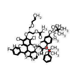 C=CCOC[C@H](COC(C)=O)Oc1c(Cl)c(C)c(-c2c(-c3ccc(F)cc3)sc3ncnc(O[C@H](Cc4cc(O[Si](C)(C)C(C)(C)C)ccc4OCc4ccccc4)C(=O)OC(C)(C)C)c23)c(C)c1Cl